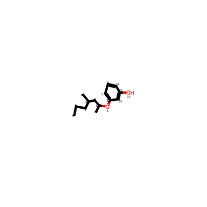 CCCC(C)CC(C)Oc1cccc(O)c1